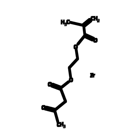 C=C(C)C(=O)OCCOC(=O)CC(C)=O.[Zr]